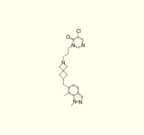 Cc1c(CC2CC3(C2)CN(CCCn2cncc(Cl)c2=O)C3)ccc2cnn(C)c12